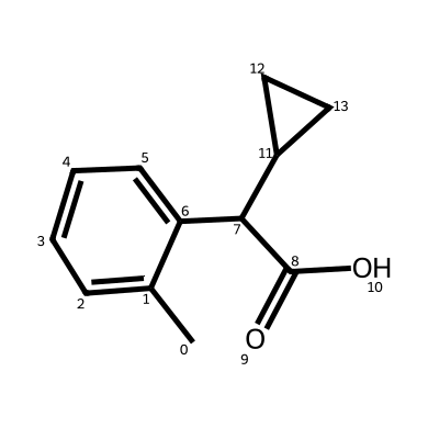 Cc1ccccc1C(C(=O)O)C1CC1